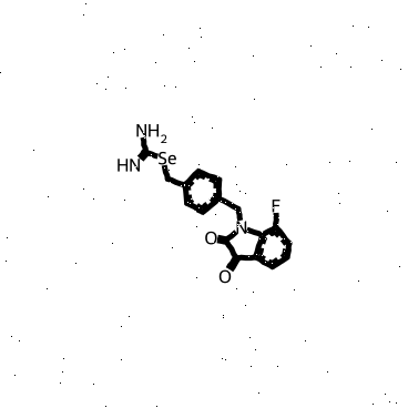 N=C(N)[Se]Cc1ccc(CN2C(=O)C(=O)c3cccc(F)c32)cc1